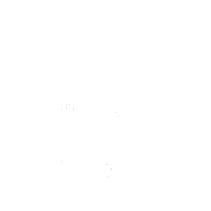 CCC(Nc1ncc(Br)nc1Br)C(=O)O